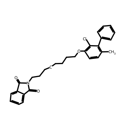 Cc1ccc(OCCCCCCCCN2C(=O)c3ccccc3C2=O)c(Cl)c1-c1ccccc1